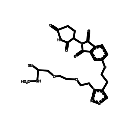 CC(C)(C)C(COCCOCCn1nncc1CCOc1ccc2c(c1)C(=O)N(C1CCC(=O)NC1=O)C2=O)NC(=O)O